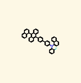 Fc1ccccc1N(c1ccc(-c2ccc(-c3c4ccccc4c(-c4cccc5ccccc45)c4ccccc34)cc2)cc1)c1cccc2ccccc12